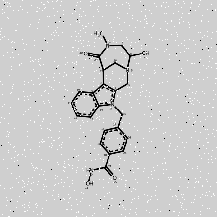 CN1CC(O)N2Cc3c(c4ccccc4n3Cc3ccc(C(=O)NO)cc3)C(C2)C1=O